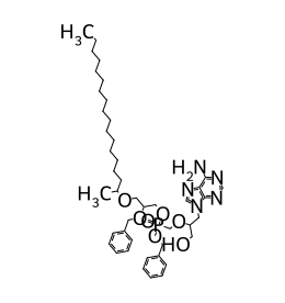 CCCCCCCCCCCCCCCCC(C)OCC(COP(=O)(COC(CO)Cn1cnc2c(N)ncnc21)OCc1ccccc1)OCc1ccccc1